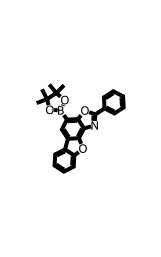 CC1(C)OB(c2cc3c4ccccc4oc3c3nc(-c4ccccc4)oc23)OC1(C)C